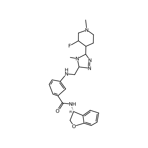 CN1CCC(C2N=NC(CNc3cccc(C(=O)N[C@H]4COc5ccccc54)c3)N2C)C(F)C1